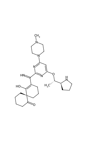 C[C@H](Oc1cc(N2CCN(C)CC2)nc(C(=N)C2=C(O)[C@]3(CCCCC3=O)CCC2)n1)[C@@H]1CCCN1